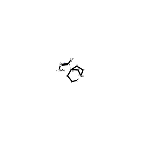 CO/N=C(/Br)[C@]12CCC[N@@](CC1)C2